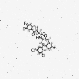 CN1C(=O)[C@H](NC(=O)C(C)(C)NC(=O)c2ccc(F)c(F)c2)CN(c2cc(Cl)cc(Cl)c2)c2ccc(F)cc21